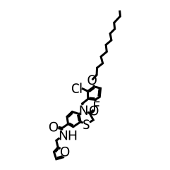 CCCCCCCCCCCCOc1ccc(F)c(CN2C(=O)CSc3cc(C(=O)NCc4ccco4)ccc32)c1Cl